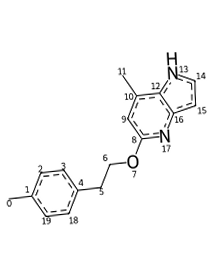 Cc1ccc(CCOc2cc(C)c3[nH]ccc3n2)cc1